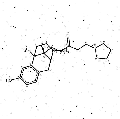 CN1CCC2(C)c3cc(O)ccc3CC1[C@@]2(C)CCC(=O)CCC1CCCC1